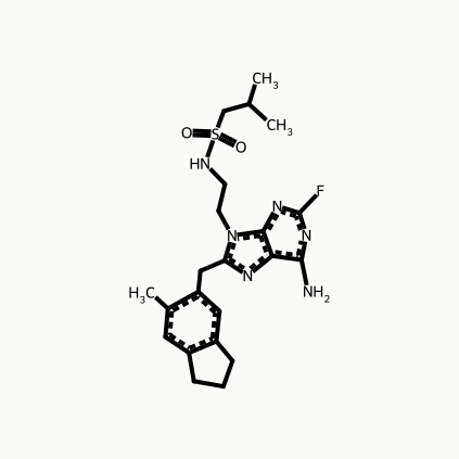 Cc1cc2c(cc1Cc1nc3c(N)nc(F)nc3n1CCNS(=O)(=O)CC(C)C)CCC2